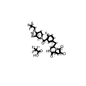 O=C(O)C(F)(F)F.O=C(c1cc(Cc2c[nH]c(=O)c3cc(Cl)c(Cl)n23)ccc1F)N1CCc2c(nnn2CC(F)(F)F)C1